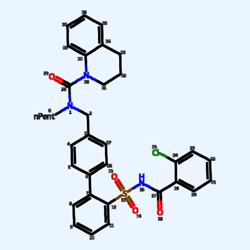 CCCCCN(Cc1ccc(-c2ccccc2S(=O)(=O)NC(=O)c2ccccc2Cl)cc1)C(=O)N1CCCc2ccccc21